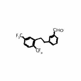 O=Cc1cccc(CCc2cc(C(F)(F)F)ccc2C(F)(F)F)c1